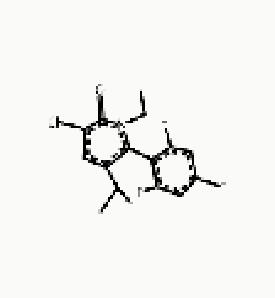 CCn1c(-c2c(F)cc(F)cc2F)c(C(C)C)cc(Cl)c1=O